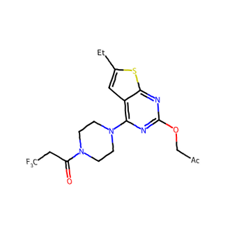 CCc1cc2c(N3CCN(C(=O)CC(F)(F)F)CC3)nc(OCC(C)=O)nc2s1